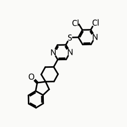 O=C1c2ccccc2CC12CCC(c1cnc(Sc3ccnc(Cl)c3Cl)cn1)CC2